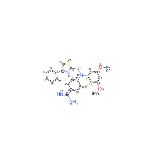 CCOc1cc(OC(C)C)c(F)c(N(Cc2nc(-c3ccccc3)cs2)c2ccc(C(=N)N)cc2)c1